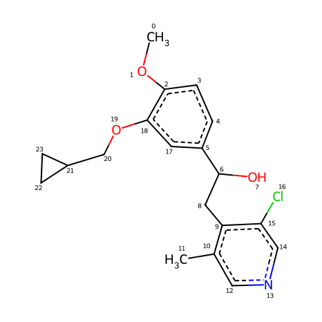 COc1ccc(C(O)Cc2c(C)cncc2Cl)cc1OCC1CC1